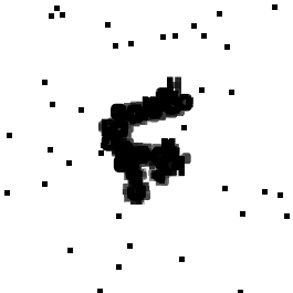 CC(C)n1cnc2cc(-c3ccc4c(c3)N([C@H]3C[C@@H](N5CCCCC5)C3)C(=O)C43CCN(C(=O)C4CCN(C(=O)C5CCN(c6ccc(C7CCC(=O)NC7=O)cn6)CC5)CC4(F)F)CC3)nc(NC3CC3)c21